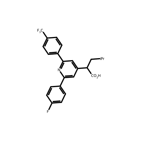 CC(C)CC(C(=O)O)c1cc(-c2ccc(F)cc2)nc(-c2ccc(C(F)(F)F)cc2)c1